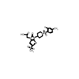 Cc1ccc(S(=O)(=O)N2CCC(n3c(=O)n(CC(=O)O)c4cc(S(C)(=O)=O)cnc43)CC2)c(F)c1